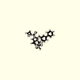 CN(C)S(=O)(=O)N[C@@H]1[C@H](Cc2cccc(-c3ccccc3)c2)N(C(=O)[C@H]2CCO2)CC12CC2